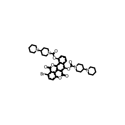 O=C(Oc1c2cccc(OC(=O)N3CCC(N4CCCCC4)CC3)c2c2oc(=O)c3c(Br)ccc4oc(=O)c1c2c43)N1CCC(N2CCCCC2)CC1